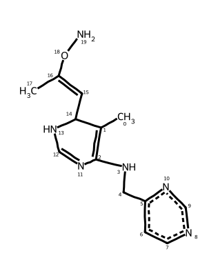 CC1=C(NCc2ccncn2)N=CNC1/C=C(\C)ON